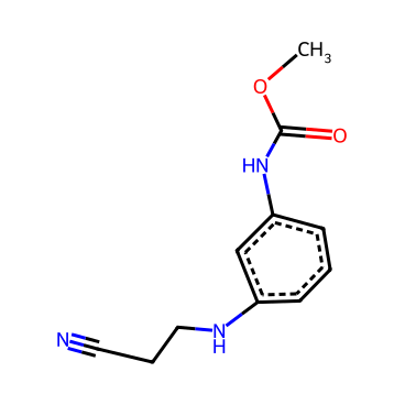 COC(=O)Nc1cccc(NCCC#N)c1